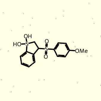 COc1ccc(S(=O)(=O)C2CS(O)(O)c3ccccc32)cc1